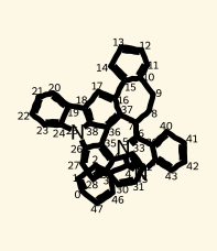 c1ccc(-c2nc(C3CCc4ccccc4-c4cc5c6ccccc6n6c7ccc8ccccc8c7c(c43)c56)c3ccccc3n2)cc1